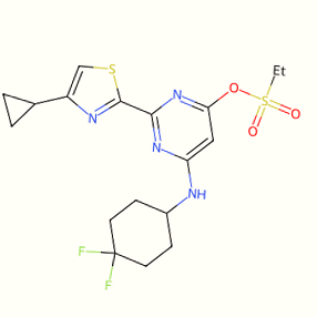 CCS(=O)(=O)Oc1cc(NC2CCC(F)(F)CC2)nc(-c2nc(C3CC3)cs2)n1